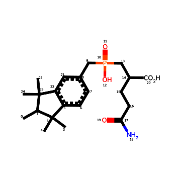 CC1C(C)(C)c2ccc(CP(=O)(O)CC(CCC(N)=O)C(=O)O)cc2C1(C)C